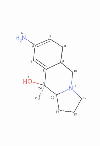 C[C@]1(O)C2=CC(N)=CCC2CN2CCCC21